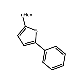 CCCCCCc1ccc(-c2ccccc2)s1